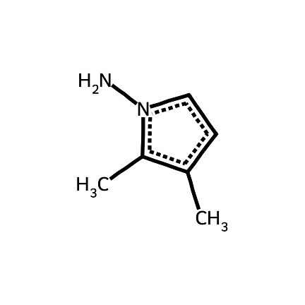 Cc1ccn(N)c1C